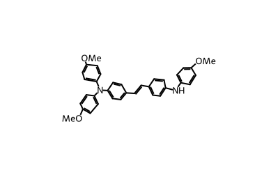 COc1ccc(Nc2ccc(/C=C/c3ccc(N(c4ccc(OC)cc4)c4ccc(OC)cc4)cc3)cc2)cc1